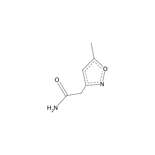 Cc1cc(CC(N)=O)no1